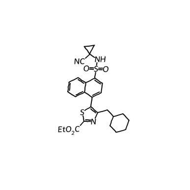 CCOC(=O)c1nc(CC2CCCCC2)c(-c2ccc(S(=O)(=O)NC3(C#N)CC3)c3ccccc23)s1